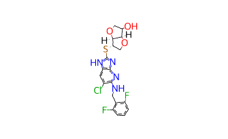 O[C@@H]1CO[C@H]2[C@@H]1OC[C@@H]2Sc1nc2nc(NCc3c(F)cccc3F)c(Cl)cc2[nH]1